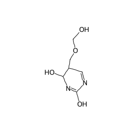 OCOCC1C=NC(O)=NC1O